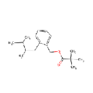 CC(C)C(C)Cc1ccccc1COC(=O)C(C)(C)C